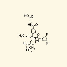 CCCC[C@H](c1ccc(C(=O)NCCC(=O)O)cc1)N1C(=O)C(c2cc(F)cc(F)c2)=NC12CCC(C(C)(C)CC)CC2